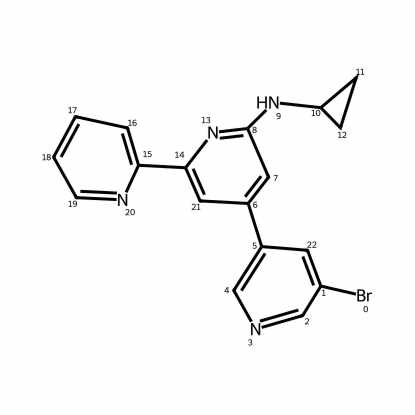 Brc1cncc(-c2cc(NC3CC3)nc(-c3ccccn3)c2)c1